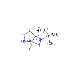 CC(C)(C)N1C[C@H]2NCC[C@H]21